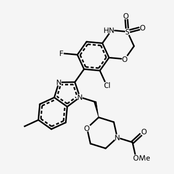 COC(=O)N1CCO[C@@H](Cn2c(-c3c(F)cc4c(c3Cl)OCS(=O)(=O)N4)nc3cc(C)ccc32)C1